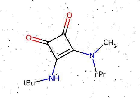 CCCN(C)c1c(NC(C)(C)C)c(=O)c1=O